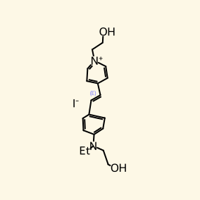 CCN(CCO)c1ccc(/C=C/c2cc[n+](CCO)cc2)cc1.[I-]